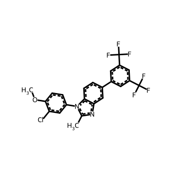 COc1ccc(-n2c(C)nc3cc(-c4cc(C(F)(F)F)cc(C(F)(F)F)c4)ccc32)cc1Cl